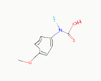 COc1ccc(N(F)C(=O)O)cc1